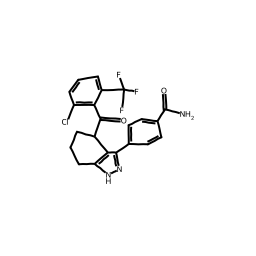 NC(=O)c1ccc(-c2n[nH]c3c2C(C(=O)c2c(Cl)cccc2C(F)(F)F)CCC3)cc1